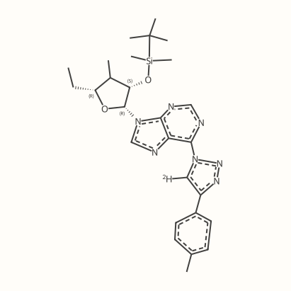 [2H]c1c(-c2ccc(C)cc2)nnn1-c1ncnc2c1ncn2[C@@H]1O[C@H](CC)C(C)[C@@H]1O[Si](C)(C)C(C)(C)C